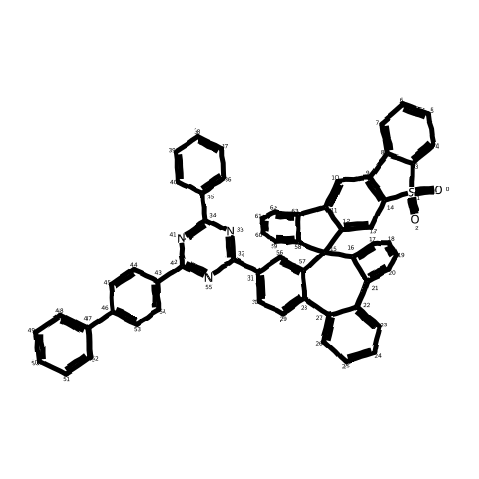 O=S1(=O)c2ccccc2-c2cc3c(cc21)C1(c2ccccc2-c2ccccc2-c2ccc(-c4nc(-c5ccccc5)nc(-c5ccc(-c6ccccc6)cc5)n4)cc21)c1ccccc1-3